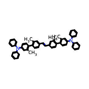 Cc1cc(/C=C/c2ccc(-c3ccc(N(c4ccccc4)c4ccccc4)cc3C)c(C)c2)ccc1-c1ccc(N(c2ccccc2)c2ccccc2)cc1C